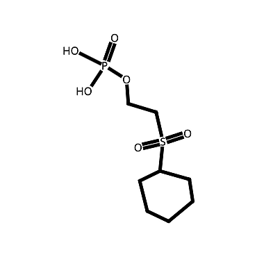 O=P(O)(O)OCCS(=O)(=O)C1CCCCC1